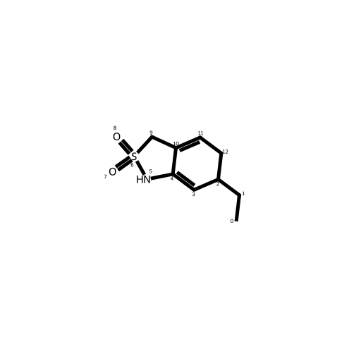 CCC1C=C2NS(=O)(=O)CC2=CC1